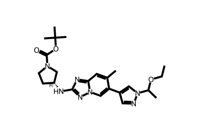 CCOC(C)n1cc(-c2cn3nc(N[C@@H]4CCN(C(=O)OC(C)(C)C)C4)nc3cc2C)cn1